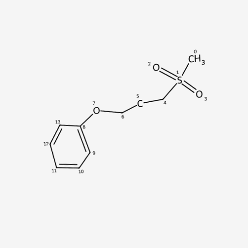 CS(=O)(=O)CCCOc1ccccc1